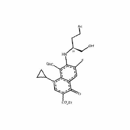 CCOC(=O)c1cn(C2CC2)c2c(C=O)c(N[C@H](CO)CCC(C)=O)c(F)cc2c1=O